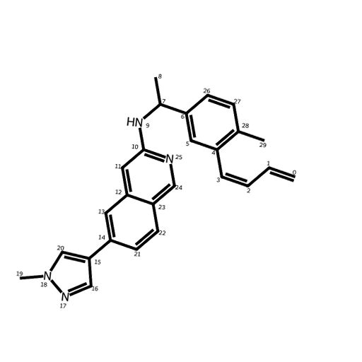 C=C/C=C\c1cc(C(C)Nc2cc3cc(-c4cnn(C)c4)ccc3cn2)ccc1C